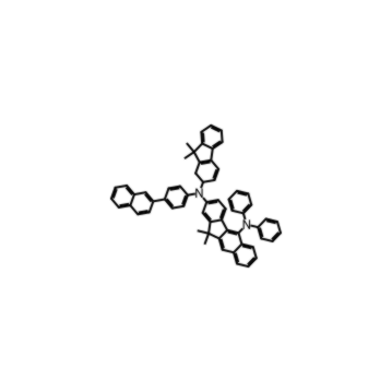 CC1(C)C2=C(C=CC(N(c3ccc(-c4ccc5ccccc5c4)cc3)c3ccc4c(c3)C(C)(C)c3cc5ccccc5c(N(c5ccccc5)c5ccccc5)c3-4)C2)c2ccccc21